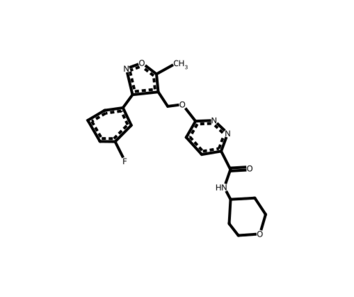 Cc1onc(-c2cccc(F)c2)c1COc1ccc(C(=O)NC2CCOCC2)nn1